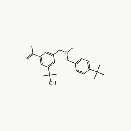 C=C(C)c1cc(CN(C)Cc2ccc(C(C)(C)C)cc2)cc(C(C)(C)O)c1